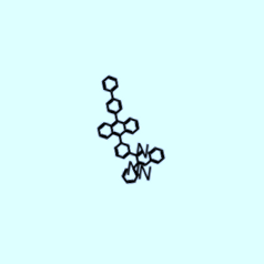 C1=CC(c2c3ccccc3c(-c3ccc(-c4ccccc4)cc3)c3ccccc23)CC(c2nc3ccccc3c3nc4ccccn4c23)=C1